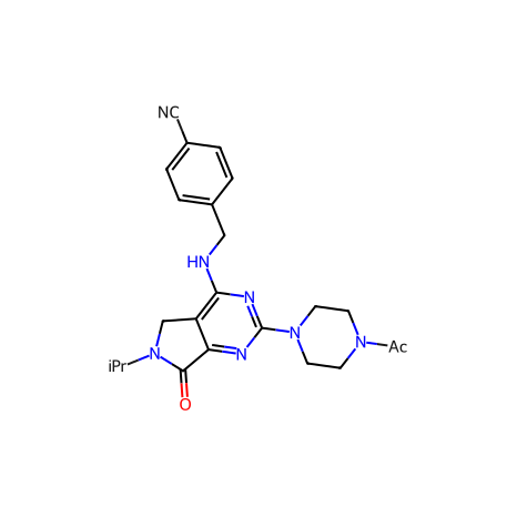 CC(=O)N1CCN(c2nc(NCc3ccc(C#N)cc3)c3c(n2)C(=O)N(C(C)C)C3)CC1